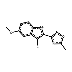 COc1ccc2[nH]c(-c3noc(C)n3)c(Cl)c2c1